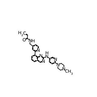 C=CC(=O)NCc1ccnc(-c2cccc3cnc(Nc4ccc(N5CCN(C)CC5)nc4)nc23)c1